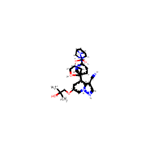 CC(C)(O)COc1cc(-c2ccc(N3CC4CC(C3)N4C(=O)O[C@@H]3CCOC3)nc2)c2c(C#N)cnn2c1